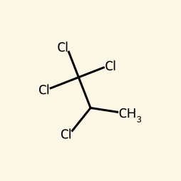 CC(Cl)C(Cl)(Cl)Cl